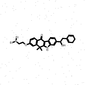 CCCC(CC1=CCCC=C1)c1ccc2c3c([nH]c2c1)C(C)(C)c1cc(OCCN(CC)CC)ccc1C3=O